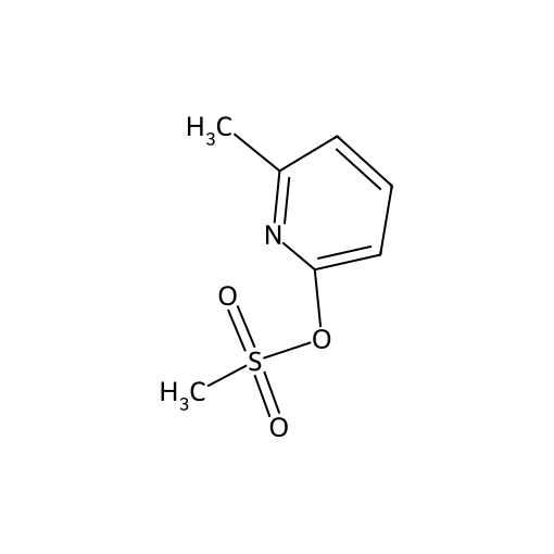 Cc1cccc(OS(C)(=O)=O)n1